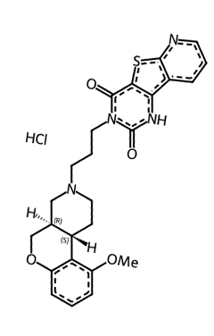 COc1cccc2c1[C@H]1CCN(CCCn3c(=O)[nH]c4c(sc5ncccc54)c3=O)C[C@@H]1CO2.Cl